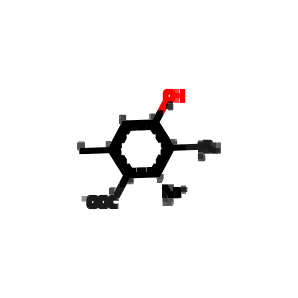 Cc1cc(O)c(C(C)(C)C)cc1C(=O)[O-].[Na+]